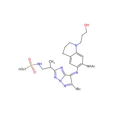 CCCCCCCCS(=O)(=O)NCC(C)c1nc2n(n1)N=C(C(C)(C)C)/C2=N/c1cc2c(cc1NC(C)=O)N(CCCO)CCC2